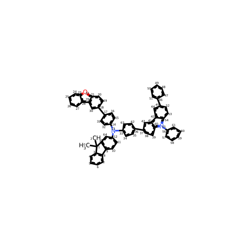 CC1(C)c2ccccc2-c2ccc(N(c3ccc(-c4ccc5oc6ccccc6c5c4)cc3)c3ccc(-c4ccc5c(c4)c4cc(-c6ccccc6)ccc4n5-c4ccccc4)cc3)cc21